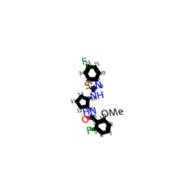 COc1cccc(F)c1C(=O)N[C@@H]1CCC[C@H]1Nc1nc2ccc(F)cc2s1